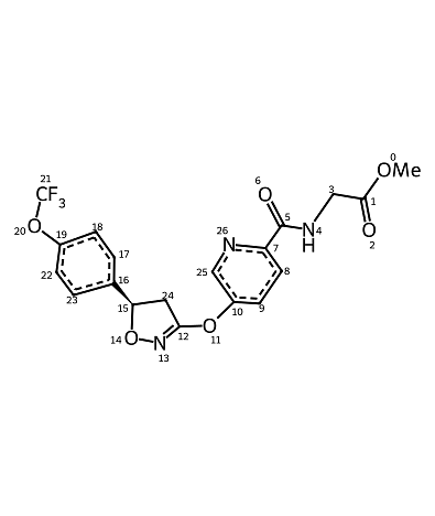 COC(=O)CNC(=O)c1ccc(OC2=NO[C@@H](c3ccc(OC(F)(F)F)cc3)C2)cn1